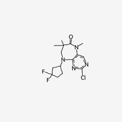 CN1C(=O)C(C)(C)CN(C2CCC(F)(F)C2)c2nc(Cl)ncc21